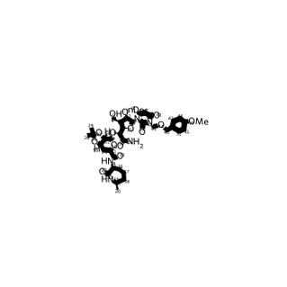 CCCCCCCCCCO[C@@H]1[C@H](CO)[C@@H]([C@@H](O[C@H]2OC(C(=O)N[C@H]3CCC[C@@H](C)NC3=O)=C[C@@H]3OC(C)(C)O[C@H]23)C(N)=O)O[C@H]1n1ccc(=O)n(COCc2ccc(OC)cc2)c1=O